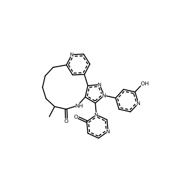 CC1CCCCc2cc(ccn2)-c2nn(-c3ccnc(O)c3)c(-n3cnccc3=O)c2NC1=O